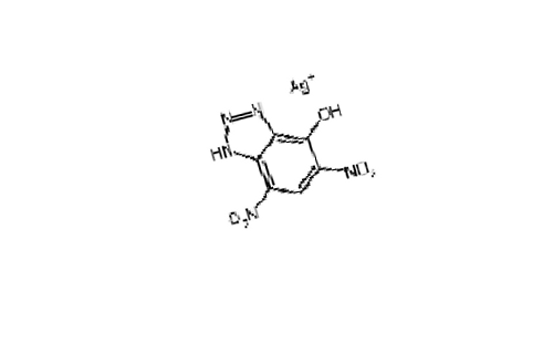 O=[N+]([O-])c1cc([N+](=O)[O-])c2[nH]nnc2c1O.[Ag+]